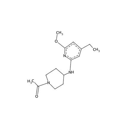 CCc1cc(NC2CCN(C(C)=O)CC2)nc(OC)c1